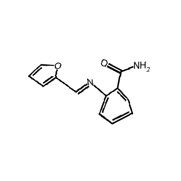 NC(=O)c1ccccc1/N=C/c1ccco1